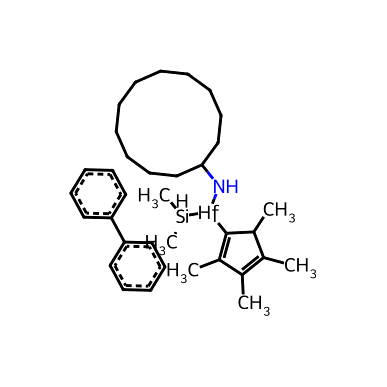 CC1=C(C)C(C)[C]([Hf]([NH]C2CCCCCCCCCCC2)[SiH](C)C)=C1C.c1ccc(-c2ccccc2)cc1